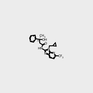 C[C@](O)(CC(=O)Nc1nc2ccc(C(F)(F)F)nc2n1CC1CC1)c1ccccc1